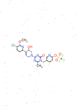 COc1nc(C2=CCN(c3nc(C)n(Cc4ccc(OS(=O)(=O)C(F)(F)F)nc4)c(=O)n3)C[C@@H]2O)ccc1Cl